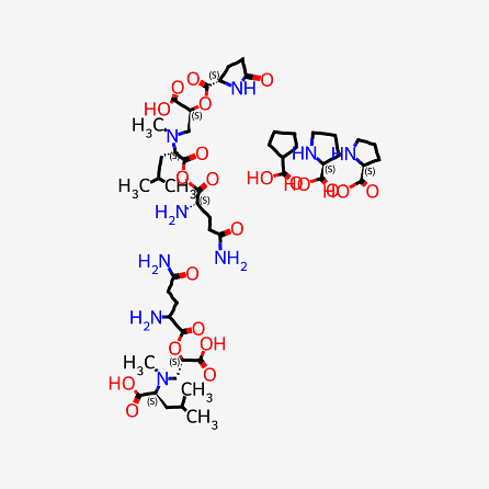 CC(C)C[C@@H](C(=O)O)N(C)C[C@H](OC(=O)C(N)CCC(N)=O)C(=O)O.CC(C)C[C@@H](C(=O)OC(=O)[C@@H](N)CCC(N)=O)N(C)C[C@H](OC(=O)[C@@H]1CCC(=O)N1)C(=O)O.O=C(O)C1CCCC1.O=C(O)[C@@H]1CCCN1.O=C(O)[C@@H]1CCCN1